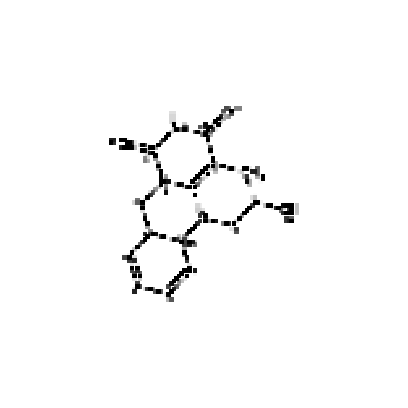 Cc1cn(CC2C=CC=CN2OCCO)c(=O)[nH]c1=O